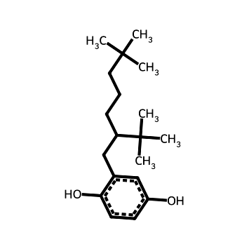 CC(C)(C)CCCC(Cc1cc(O)ccc1O)C(C)(C)C